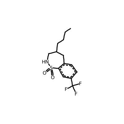 CCCCC1CNS(=O)(=O)c2cc(C(F)(F)F)ccc2C1